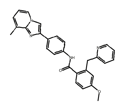 COc1ccc(C(=O)Nc2ccc(-c3cn4cccc(C)c4n3)cc2)c(Cc2ccccn2)c1